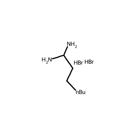 Br.Br.CCCCCCC(N)N